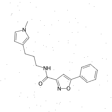 Cn1ccc(CCCNC(=O)c2cc(-c3ccccc3)on2)c1